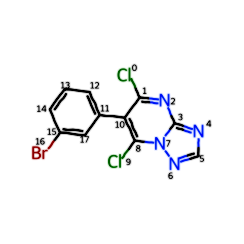 Clc1nc2ncnn2c(Cl)c1-c1cccc(Br)c1